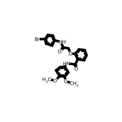 COc1ccc(NC(=O)c2ccccc2OCC(=O)Nc2ccc(Br)cc2)cc1OC